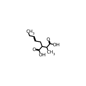 CC/C=C/CC(C(=O)O)C(C)C(=O)O